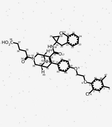 Cc1cc(Cl)c(OCCOc2ccc(C3=C(C(=O)NC4(Cc5ccccc5Cl)CC4)[C@H]4CN(C(=O)CCCC(=O)O)C[C@@H](C3)N4)cc2)cc1C